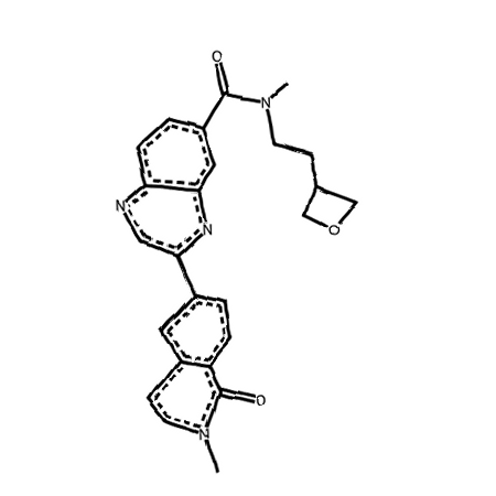 CN(CCC1COC1)C(=O)c1ccc2ncc(-c3ccc4c(=O)n(C)ccc4c3)nc2c1